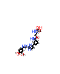 COc1ccc(CCNc2nccc(-c3cccc(NC(=O)CCNC(=O)O)c3)n2)cc1OC